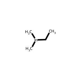 C[CH2][In]([CH3])[CH3]